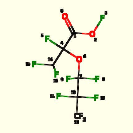 O=C(OF)C(F)(OC(F)(F)C(F)(F)C(F)(F)F)C(F)F